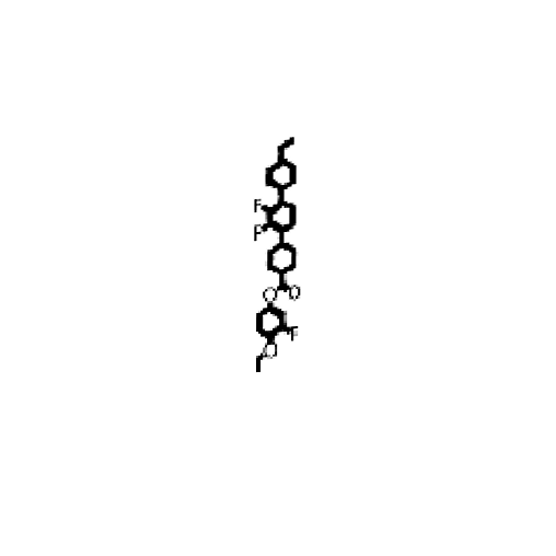 CCOc1ccc(OC(=O)C2CCC(c3ccc(-c4ccc(CC)cc4)c(F)c3F)CC2)cc1F